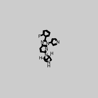 Fc1ccccc1-c1nc2ccc(N3[C@@H]4CNC[C@H]3C4)nc2n1-c1ccncc1